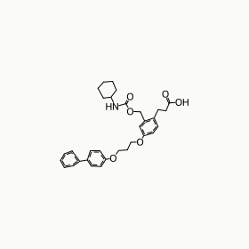 O=C(O)CCc1ccc(OCCCOc2ccc(-c3ccccc3)cc2)cc1COC(=O)NC1CCCCC1